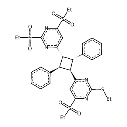 CCSc1nc(S(=O)(=O)CC)cc([C@H]2[C@@H](c3ccccc3)[C@H](c3cc(S(=O)(=O)CC)nc(S(=O)(=O)CC)n3)[C@@H]2c2ccccc2)n1